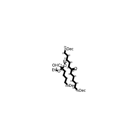 CCCCCCCCCCCCCCC(C=O)(OCC)OCC.CCCCCCCCCCCCCCCC(=O)CCCCCCCCCCCCCCC